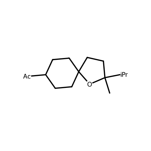 CC(=O)C1CCC2(CC1)CCC(C)(C(C)C)O2